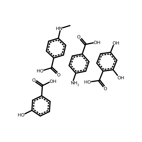 CNc1ccc(C(=O)O)cc1.Nc1ccc(C(=O)O)cc1.O=C(O)c1ccc(O)cc1O.O=C(O)c1cccc(O)c1